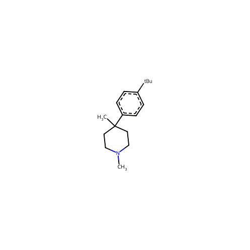 CN1CCC(C)(c2ccc(C(C)(C)C)cc2)CC1